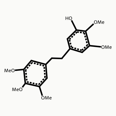 COc1cc(CCc2cc(OC)c(OC)c(OC)c2)cc(O)c1OC